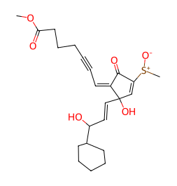 COC(=O)CCCC#CC=C1C(=O)C([S+](C)[O-])=CC1(O)C=CC(O)C1CCCCC1